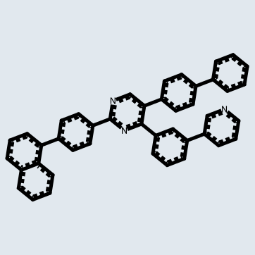 c1ccc(-c2ccc(-c3cnc(-c4ccc(-c5cccc6ccccc56)cc4)nc3-c3cccc(-c4cccnc4)c3)cc2)cc1